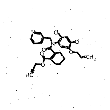 C#CCOC(=O)C1=C(C(=O)N(Cc2cccnc2)c2cc(OCC=C)c(Cl)cc2Cl)CCCC1